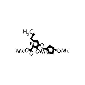 C=CCc1cc(OCc2ccc(OC)cc2)c(OC)c(C(=O)OC)n1